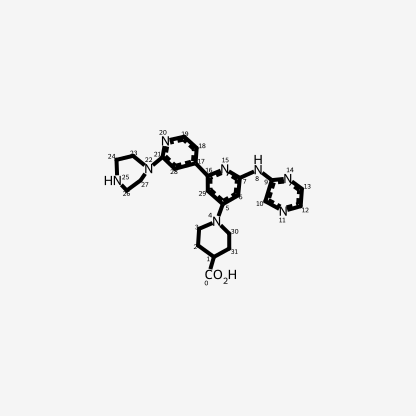 O=C(O)C1CCN(c2cc(Nc3cnccn3)nc(-c3ccnc(N4CCNCC4)c3)c2)CC1